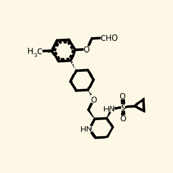 Cc1ccc(OCC=O)c([C@H]2CC[C@@H](OC[C@@H]3NCCC[C@@H]3NS(=O)(=O)C3CC3)CC2)c1